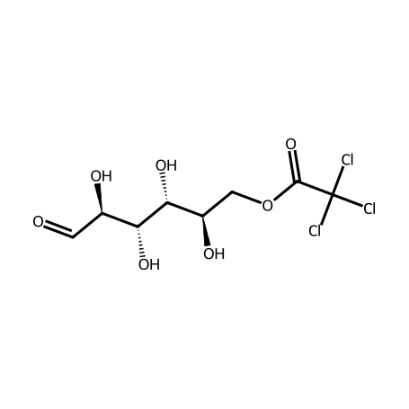 O=C[C@@H](O)[C@@H](O)[C@H](O)[C@H](O)COC(=O)C(Cl)(Cl)Cl